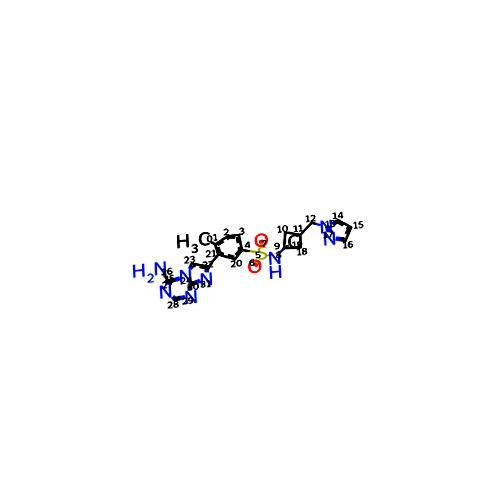 Cc1ccc(S(=O)(=O)NC23CC(Cn4cccn4)(C2)C3)cc1-c1cn2c(N)ncnc2n1